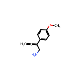 C=C=C(CN)c1ccc(OC)cc1